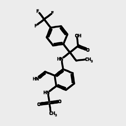 CCC(Nc1cccc(NS(C)(=O)=O)c1C=N)(C(=O)O)c1ccc(C(F)(F)F)cc1